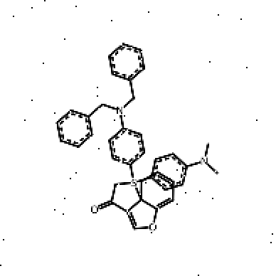 CN(C)c1ccc(S2(c3ccc(N(Cc4ccccc4)Cc4ccccc4)cc3)CC(=O)C3=COC4=CC=CCC432)cc1